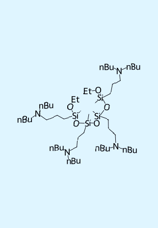 CCCCN(CCCC)CCC[Si](C)(OCC)O[Si](C)(CCCN(CCCC)CCCC)O[Si](C)(CCCN(CCCC)CCCC)O[Si](C)(CCCN(CCCC)CCCC)OCC